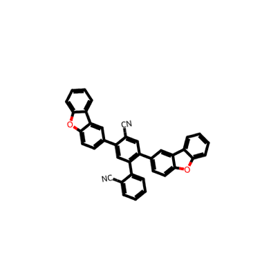 N#Cc1cc(-c2ccc3oc4ccccc4c3c2)c(-c2ccccc2C#N)cc1-c1ccc2oc3ccccc3c2c1